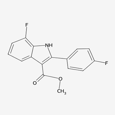 COC(=O)c1c(-c2ccc(F)cc2)[nH]c2c(F)cccc12